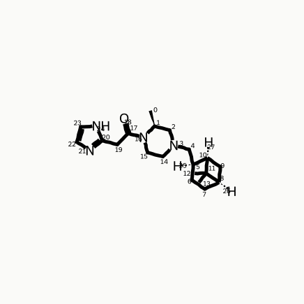 C[C@H]1CN(C[C@@H]2CC[C@@H]3C[C@H]2C3(C)C)CCN1C(=O)Cc1ncc[nH]1